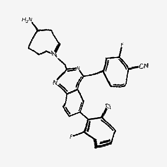 N#Cc1ccc(-c2nc(N3CCC(N)CC3)nc3ccc(-c4c(F)cccc4Cl)cc23)cc1F